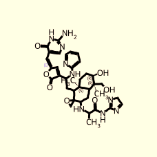 CC(NC1CC2[C@](C)(CC[C@@H](O)[C@@]2(C)CO)C(CC(Nc2ccccn2)C2=C/C(=C\c3cnc(N)[nH]c3=O)OC2=O)C12CO2)C(=O)NC1=NCC=N1